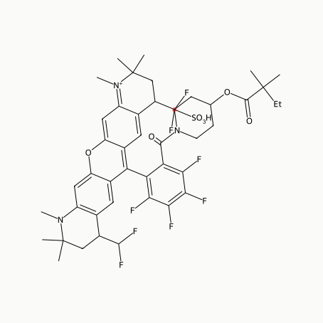 CCC(C)(C)C(=O)OC1CCN(C(=O)c2c(F)c(F)c(F)c(F)c2C2=c3cc4c(cc3Oc3cc5c(cc32)C(C(F)F)CC(C)(C)N5C)=[N+](C)C(C)(C)CC4C(F)(F)S(=O)(=O)O)CC1